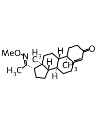 CON=C(C)[C@H]1CC[C@H]2[C@@H]3CCC4=CC(=O)CC[C@]4(C)[C@H]3CC[C@]12C